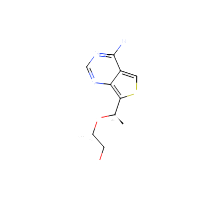 C[C@@H](CO)O[C@H](C)c1scc2c(N)ncnc12